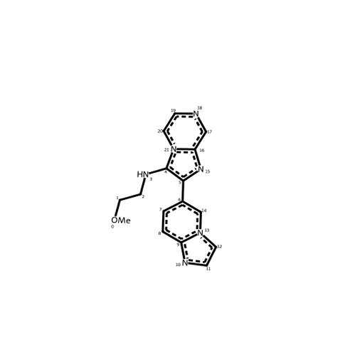 COCCNc1c(-c2ccc3nccn3c2)nc2cnccn12